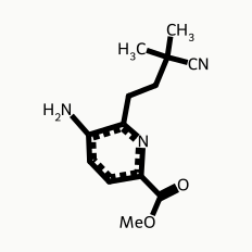 COC(=O)c1ccc(N)c(CCC(C)(C)C#N)n1